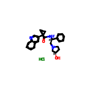 Cl.O=C(N[C@H](CN1CC[C@H](O)C1)c1ccccc1)C1(c2cnc3ccccc3c2)CC1